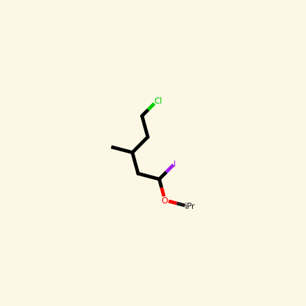 CC(CCCl)CC(I)OC(C)C